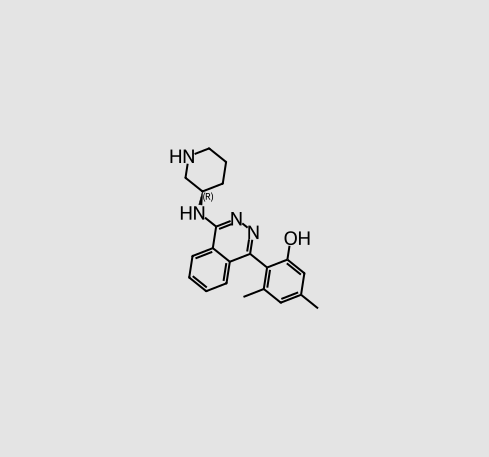 Cc1cc(C)c(-c2nnc(N[C@@H]3CCCNC3)c3ccccc23)c(O)c1